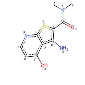 CN(C)C(=O)c1sc2nccc(O)c2c1N